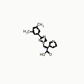 Cc1cc(C)cc(-c2ncn(/C=C(/C(=O)O)c3cccnc3)n2)c1